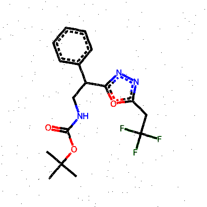 CC(C)(C)OC(=O)NCC(c1ccccc1)c1nnc(CC(F)(F)F)o1